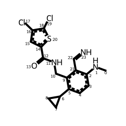 CNc1ccc(C2CC2)c(CNC(=O)c2cc(Cl)c(Cl)s2)c1C=N